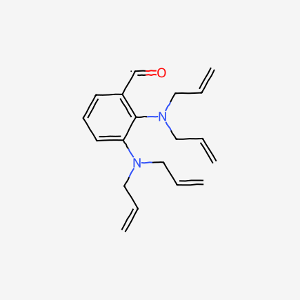 C=CCN(CC=C)c1cccc([C]=O)c1N(CC=C)CC=C